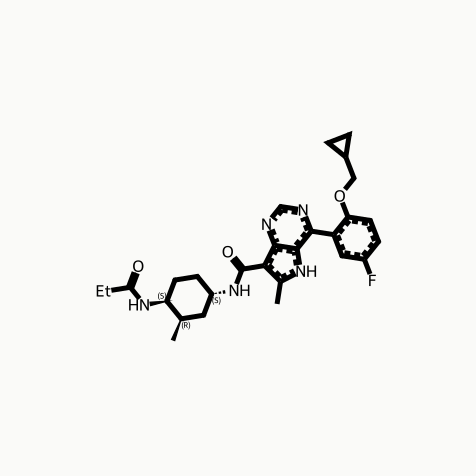 CCC(=O)N[C@H]1CC[C@H](NC(=O)c2c(C)[nH]c3c(-c4cc(F)ccc4OCC4CC4)ncnc23)C[C@H]1C